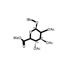 COC(=O)C1O[C@@H](OC(C)(C)C)C(OC(C)=O)[C@@H](OC(C)=O)[C@@H]1OC(C)=O